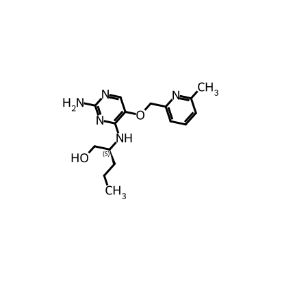 CCC[C@@H](CO)Nc1nc(N)ncc1OCc1cccc(C)n1